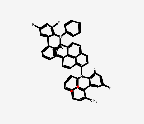 Fc1cc(F)c(N(c2ccccc2)c2ccc3ccc4c(N(c5ccccc5)c5c(F)cc(F)cc5-c5ccccc5C(F)(F)F)ccc5ccc2c3c54)c(-c2ccccc2C(F)(F)F)c1